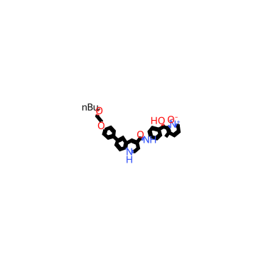 CCCCOCCOc1ccc(-c2ccc3c(c2)C=C(C(=O)Nc2ccc(C(O)c4c(C)ccc[n+]4[O-])cc2)CCN3)cc1